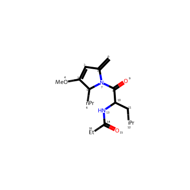 C=C1C=C(OC)C(CCC)N1C(=O)C(CC(C)C)NC(=O)CC